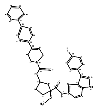 CO[C@@]1(C(=O)Nc2ccc3[nH]nc(-c4ccc(F)cc4)c3c2)CCN(CC(=O)N2CC=C(c3ccc(-c4ncccn4)cn3)CC2)C1